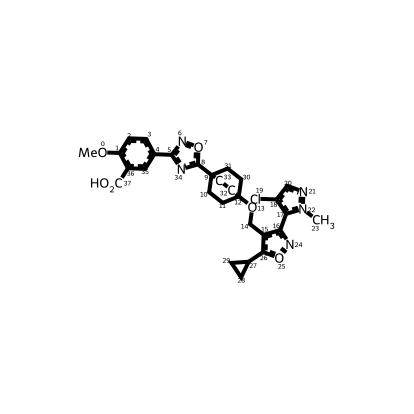 COc1ccc(-c2noc(C34CCC(OCc5c(-c6c(Cl)cnn6C)noc5C5CC5)(CC3)CC4)n2)cc1C(=O)O